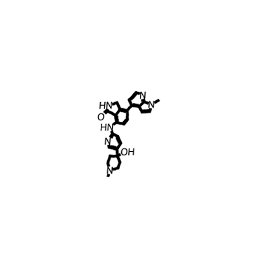 CN1CCC(O)(c2ccc(Nc3ccc(-c4ccnc5c4ccn5C)c4c3C(=O)NC4)nc2)CC1